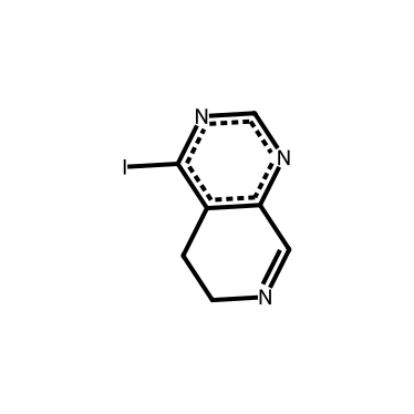 Ic1ncnc2c1CCN=C2